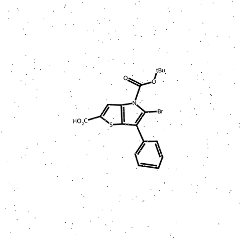 CC(C)(C)OC(=O)n1c(Br)c(-c2ccccc2)c2sc(C(=O)O)cc21